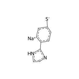 [Na+].[S-]c1ccc(-c2ncc[nH]2)cc1